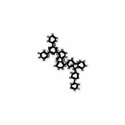 c1ccc(-c2ccc(-n3c4ccccc4c4ccc(-c5cccc6sc7c(-c8nc(-c9ccccc9)nc(-c9ccccc9)n8)cccc7c56)cc43)cc2)cc1